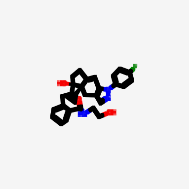 O=C(NCCO)c1ccccc1CC[C@]1(O)CCC2=Cc3c(cnn3-c3ccc(F)cc3)C[C@@]21C1CC1